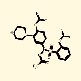 O=C(ON(c1ccc(OC(F)F)c(N2CCNCC2)c1)S(=O)(=O)c1ccccc1OC(F)F)C(F)(F)F